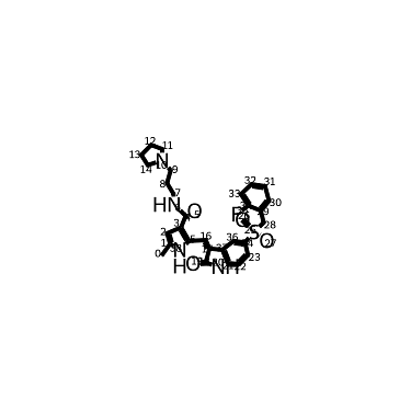 Cc1cc(C(=O)NCCCN2CCCC2)c(/C=C2\C(=O)Nc3ccc(S(=O)(=O)Cc4ccccc4F)cc32)[nH]1